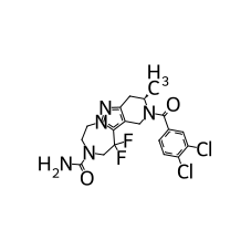 C[C@@H]1Cc2nn3c(c2CN1C(=O)c1ccc(Cl)c(Cl)c1)C(F)(F)CN(C(N)=O)CC3